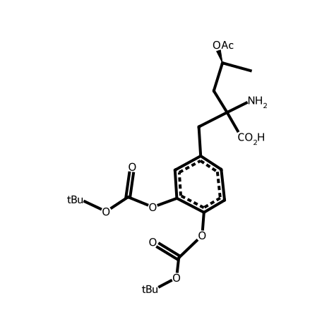 CC(=O)O[C@@H](C)CC(N)(Cc1ccc(OC(=O)OC(C)(C)C)c(OC(=O)OC(C)(C)C)c1)C(=O)O